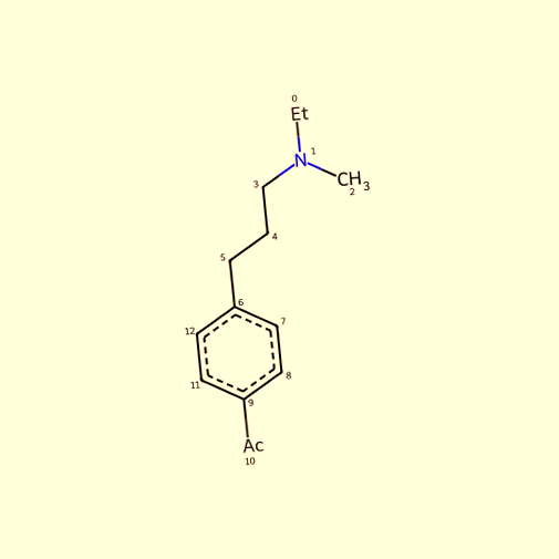 CCN(C)CCCc1ccc(C(C)=O)cc1